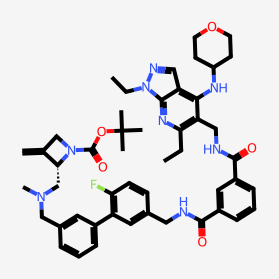 C=C1CN(C(=O)OC(C)(C)C)[C@@H]1CN(C)Cc1cccc(-c2cc(CNC(=O)c3cccc(C(=O)NCc4c(CC)nc5c(cnn5CC)c4NC4CCOCC4)c3)ccc2F)c1